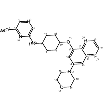 COc1cncc(NC2CCC(Oc3cc(N4CCOCC4)cc4nccnc34)CC2)n1